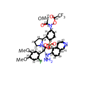 CCS(=O)(=O)c1ccc(N(OC(=O)C(F)(F)F)C(=O)OC)cc1C1CCCN1C(=O)[C@@H](c1cc(OC)c(OC)cc1F)N(N)c1ccc2cnccc2c1